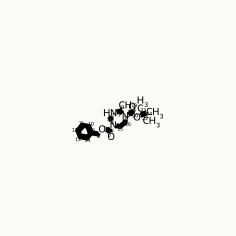 C[C@@H]1NCN(C(=O)OCc2ccccc2)CCN1C(=O)OC(C)(C)C